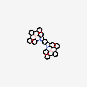 c1ccc(-c2cccc(-c3ccccc3)c2B2c3ccccc3-n3c4cc5c(cc4c4cccc2c43)c2cccc3c2n5-c2ccccc2B3c2c(-c3ccccc3)cccc2-c2ccccc2)cc1